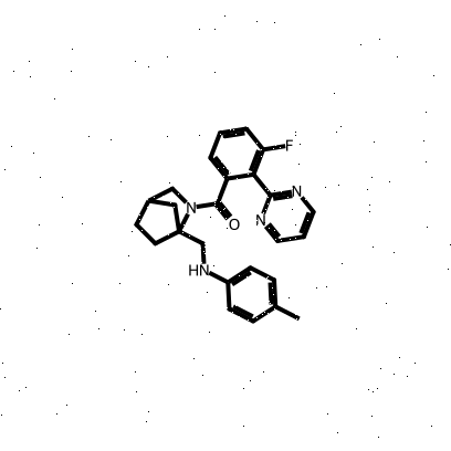 Cc1ccc(NCC23CCC(CN2C(=O)c2cccc(F)c2-c2ncccn2)C3)cc1